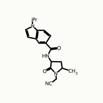 CC1CC(NC(=O)c2ccc3c(ccn3C(C)C)c2)C(=O)N1CC#N